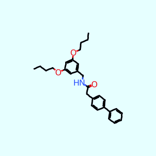 CCCCOc1cc(CNC(=O)Cc2ccc(-c3ccccc3)cc2)cc(OCCCC)c1